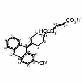 CN1CCC(=C2c3ccccc3Sc3ccc(C#N)cc32)CC1.O=C(O)/C=C/C(=O)O